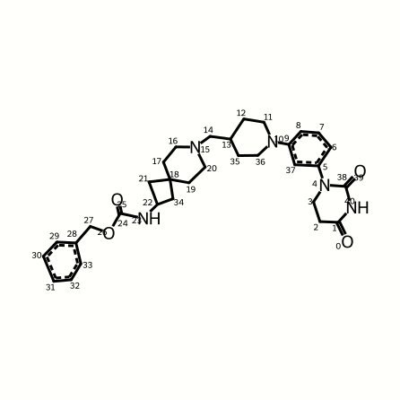 O=C1CCN(c2cccc(N3CCC(CN4CCC5(CC4)CC(NC(=O)OCc4ccccc4)C5)CC3)c2)C(=O)N1